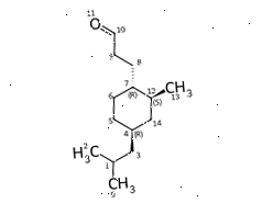 CC(C)C[C@H]1CC[C@H](CCC=O)[C@@H](C)C1